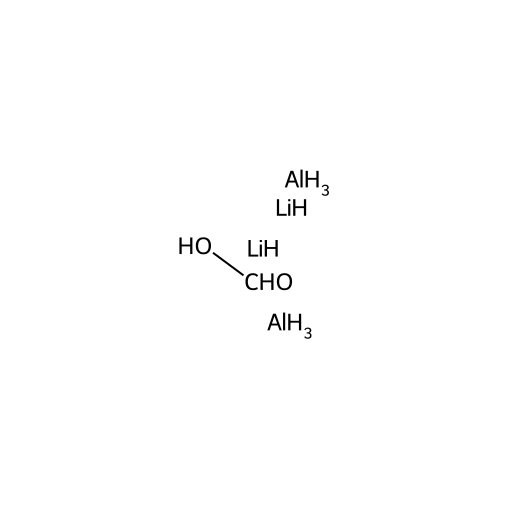 O=CO.[AlH3].[AlH3].[LiH].[LiH]